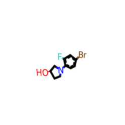 O[C@H]1CCN(c2ccc(Br)cc2F)C1